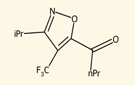 CCCC(=O)c1onc(C(C)C)c1C(F)(F)F